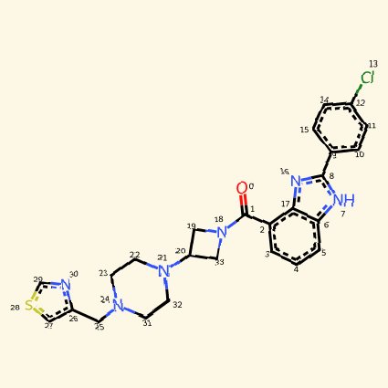 O=C(c1cccc2[nH]c(-c3ccc(Cl)cc3)nc12)N1CC(N2CCN(Cc3cscn3)CC2)C1